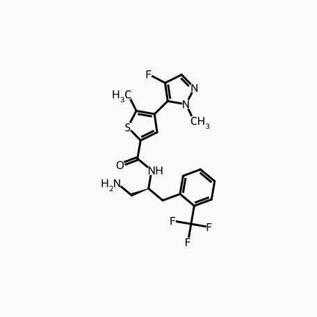 Cc1sc(C(=O)N[C@H](CN)Cc2ccccc2C(F)(F)F)cc1-c1c(F)cnn1C